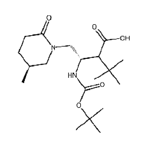 C[C@H]1CCC(=O)N(C[C@@H](NC(=O)OC(C)(C)C)C(C(=O)O)C(C)(C)C)C1